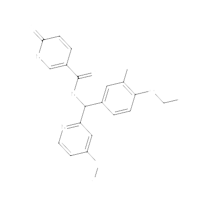 COc1ccnc(C(NC(=O)c2ccc(=O)[nH]c2)c2ccc(OCF)c(F)c2)c1